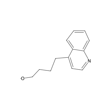 [O]CCCCc1ccnc2ccccc12